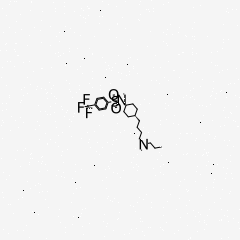 CCCN(C)CCCC[C@H]1CC[C@H](N(C)S(=O)(=O)c2ccc(C(F)(F)F)cc2)CC1